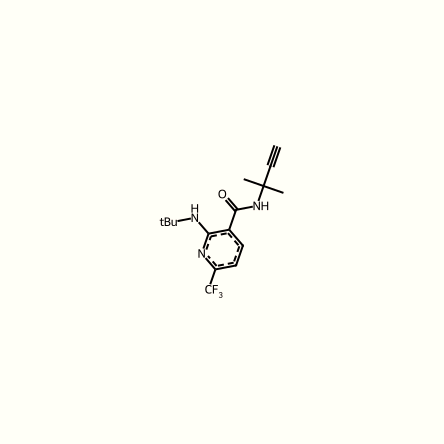 C#CC(C)(C)NC(=O)c1ccc(C(F)(F)F)nc1NC(C)(C)C